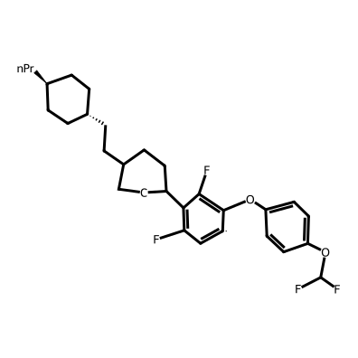 CCC[C@H]1CC[C@H](CCC2CCC(c3c(F)c[c]c(Oc4ccc(OC(F)F)cc4)c3F)CC2)CC1